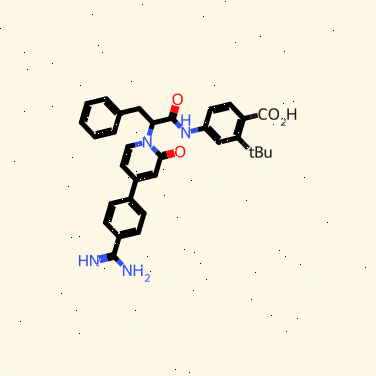 CC(C)(C)c1cc(NC(=O)C(Cc2ccccc2)n2ccc(-c3ccc(C(=N)N)cc3)cc2=O)ccc1C(=O)O